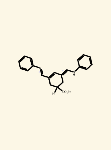 CCOC(=O)C1(CC)CC(/C=N/c2ccccc2)=CC(=C/Nc2ccccc2)/C1